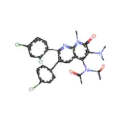 CC(=O)N(C(C)=O)c1c(N(C)C)c(=O)n(C)c2nc(-c3ccc(Cl)cc3Cl)c(-c3ccc(Cl)cc3)cc12